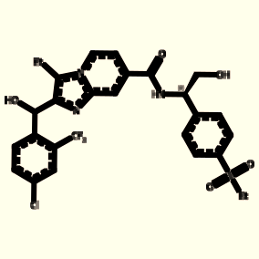 CCc1c(C(O)c2ccc(Cl)cc2C(F)(F)F)nc2cc(C(=O)N[C@@H](CO)c3ccc(S(=O)(=O)CC)cc3)ccn12